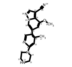 COc1cc(-c2cnc(N3CCNCC3)cc2C)cn2ncc(C#N)c12